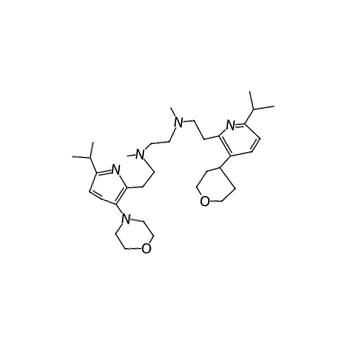 CC(C)c1ccc(C2CCOCC2)c(CCN(C)CCN(C)CCc2nc(C(C)C)ccc2N2CCOCC2)n1